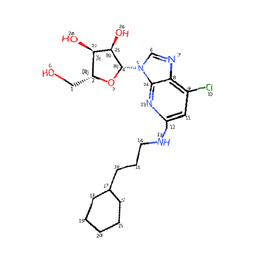 OC[C@H]1O[C@@H](n2cnc3c(Cl)cc(NCCCC4CCCCC4)nc32)[C@H](O)[C@@H]1O